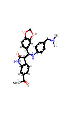 CCN(CC)Cc1ccc(NC(=C2C(=O)Nc3cc(C(=O)OC)ccc32)c2ccc3c(c2)OCO3)cc1